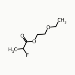 CCOCCOC(=O)C(C)F